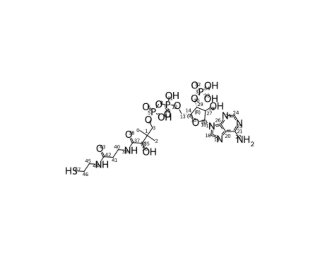 CC(C)(COP(=O)(O)OP(=O)(O)OC[C@H]1O[C@@H](n2cnc3c(N)ncnc32)C(O)[C@H]1OP(=O)(O)O)[C@@H](O)C(=O)NCCC(=O)NCCS